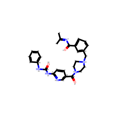 CC(C)=NC(=O)c1cccc(CN2CCN(C(=O)c3ccc(NC(=O)Nc4ccccc4)nc3)CC2)c1